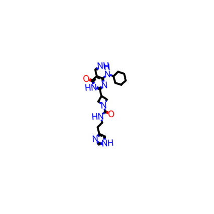 N=Cc1c(NC2CCCCC2)nc(C2CN(C(=O)NCCc3c[nH]cn3)C2)[nH]c1=O